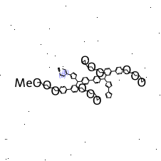 C#C/C=C\C(=C/C)C1=CC(C(c2ccc(-c3ccc(C(c4cc(-c5ccc(OCCOCC6CO6)cc5)ccc4OCCOCC4CO4)C4C=CC(C5=CCC=C5)=C4)cc3)cc2)c2cc(-c3ccc(OCCOCCOC)cc3)ccc2OCCOCC2CO2)C=C1